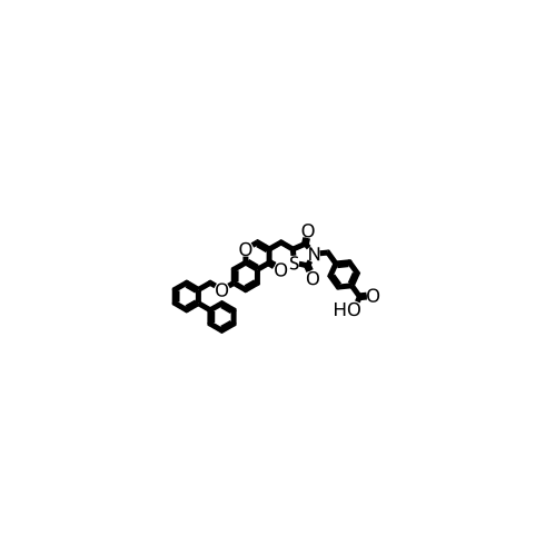 O=C(O)c1ccc(CN2C(=O)SC(Cc3coc4cc(OCc5ccccc5-c5ccccc5)ccc4c3=O)C2=O)cc1